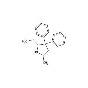 CCC1NC(C)CC1(c1ccccc1)c1ccccc1